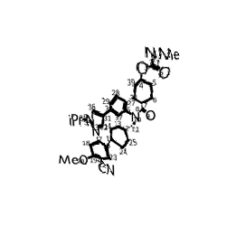 CNC(=O)O[C@H]1CC[C@H](C(=O)N(C[C@H]2CC[C@H](c3ccc(OC)c(C#N)c3)CC2)c2cccc(-c3cnn(C(C)C)c3)c2)CC1